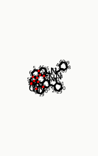 CC1(C)c2ccccc2C2(c3ccccc3Oc3ccccc32)c2ccc(-c3ccccc3-c3nc(-c4ccccc4)nc(-c4cccc(-c5cccc(C#N)c5)c4)n3)cc21